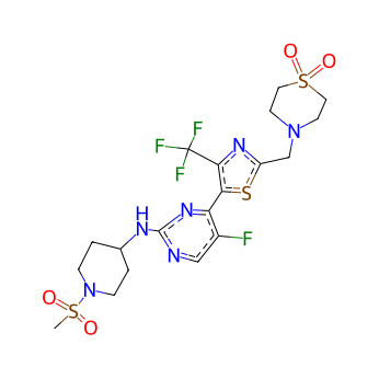 CS(=O)(=O)N1CCC(Nc2ncc(F)c(-c3sc(CN4CCS(=O)(=O)CC4)nc3C(F)(F)F)n2)CC1